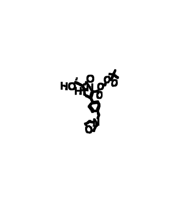 C[C@@H](O)[C@H]1C(=O)N2C(C(=O)OCOC(=O)C(C)(C)C)=C(c3ccc(CN4CCOCC4)cc3)C[C@H]12